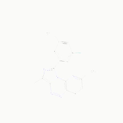 COc1cc(F)cc(-c2nc(C)c3nnc4ccc(OC)nc4n23)c1